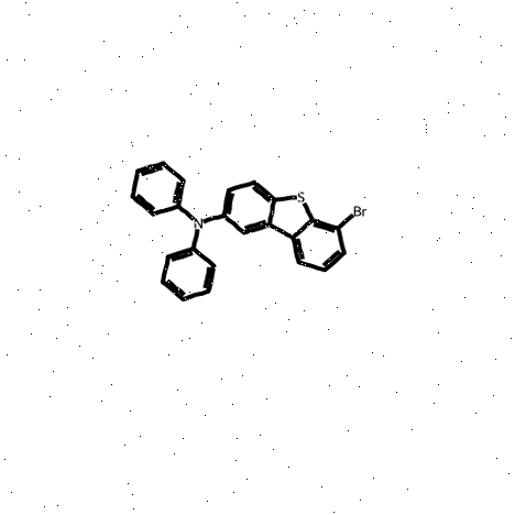 Brc1cccc2c1sc1ccc(N(c3ccccc3)c3ccccc3)cc12